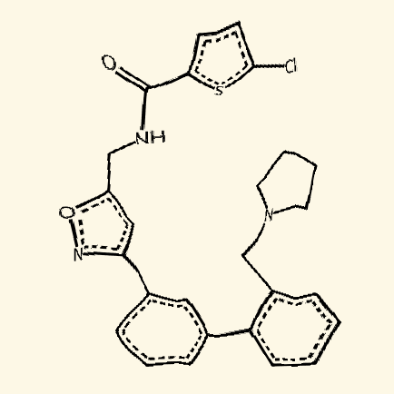 O=C(NCc1cc(-c2cccc(-c3ccccc3CN3CCCC3)c2)no1)c1ccc(Cl)s1